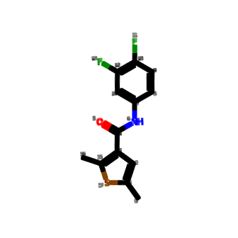 Cc1cc(C(=O)Nc2ccc(F)c(F)c2)c(C)s1